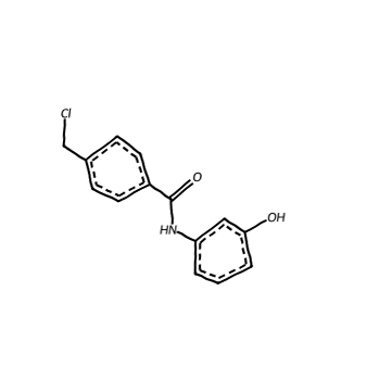 O=C(Nc1cccc(O)c1)c1ccc(CCl)cc1